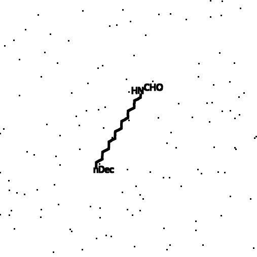 CCCCCCCCCCCCCCCCCCCCCCCCNC=O